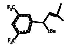 CC(C)=CC(c1cc(C(F)(F)F)cc(C(F)(F)F)c1)C(C)(C)C